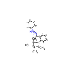 CC1=C(C)C(C)C(c2ccccc2/C=N/NC2CCCCC2)=C1C